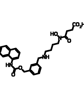 O=C(O)CCC(=O)N(O)CCCCNCc1cccc(COC(=O)Nc2cccc3ccccc23)c1